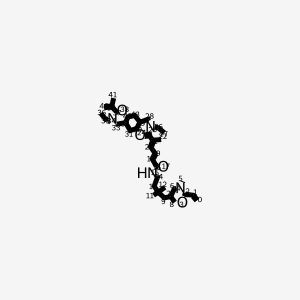 C=CC(=O)N(C)CC(C)CC(C)(C)CCNC(=O)/C=C/C=C(\C)C(=O)N(CC)CC1CCC(CN(CC)C(=O)C(=C)C)CC1